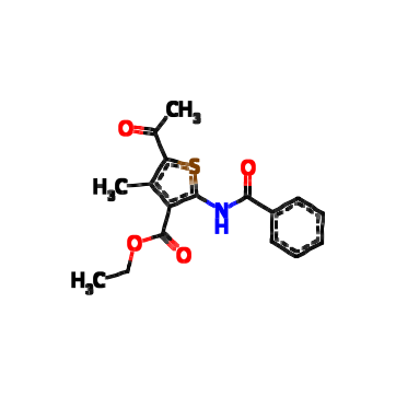 CCOC(=O)c1c(NC(=O)c2ccccc2)sc(C(C)=O)c1C